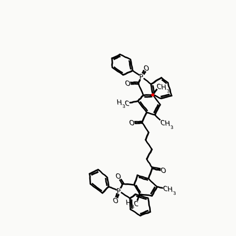 Cc1cc(C)c(C(=O)P(=O)(c2ccccc2)c2ccccc2)cc1C(=O)CCCCC(=O)c1c(C)cc(C)c(C(=O)P(=O)(c2ccccc2)c2ccccc2)c1C